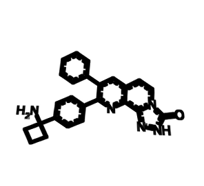 NC1(c2ccc(-c3nc4c(ccn5c(=O)[nH]nc45)cc3-c3ccccc3)cc2)CCC1